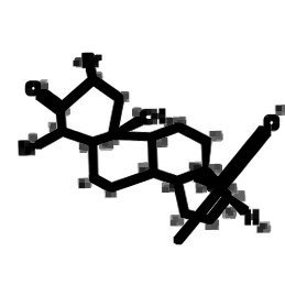 C[C@]12CC(Br)C(=O)C(Br)C1CCC1C2CC[C@]23CC(=O)O[C@H]2CCC13